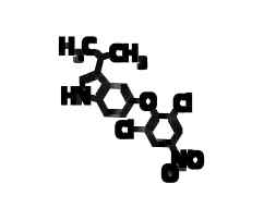 CC(C)c1c[nH]c2ccc(Oc3c(Cl)cc([N+](=O)[O-])cc3Cl)cc12